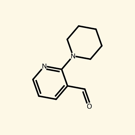 O=Cc1cccnc1N1CCCCC1